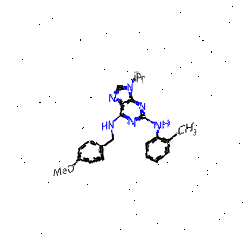 COc1ccc(CNc2nc(Nc3ccccc3C)nc3c2ncn3C(C)C)cc1